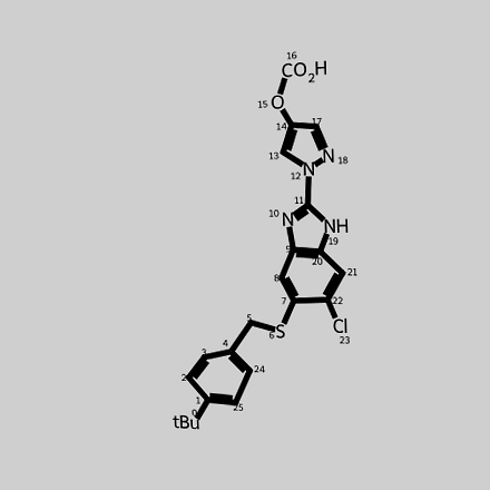 CC(C)(C)c1ccc(CSc2cc3nc(-n4cc(OC(=O)O)cn4)[nH]c3cc2Cl)cc1